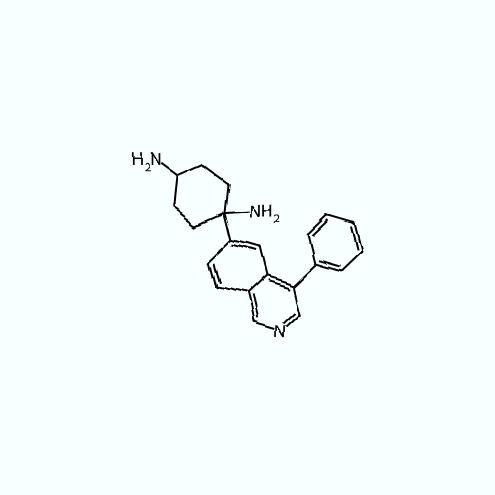 NC1CCC(N)(c2ccc3cncc(-c4ccccc4)c3c2)CC1